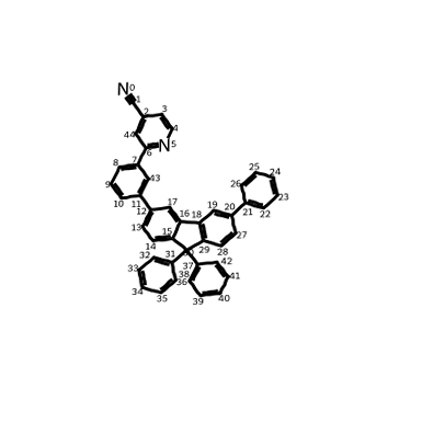 N#Cc1ccnc(-c2cccc(-c3ccc4c(c3)-c3cc(-c5ccccc5)ccc3C4(c3ccccc3)c3ccccc3)c2)c1